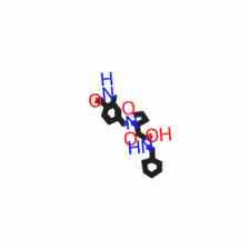 O=C1NCc2cc(CN3C(=O)CCC3C(=O)C(O)NCC3CCCCC3)ccc21